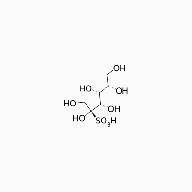 O=S(=O)(O)[C@@](O)(CO)[C@@H](O)[C@H](O)[C@@H](O)CO